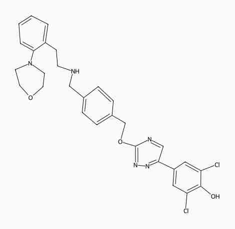 Oc1c(Cl)cc(-c2cnc(OCc3ccc(CNCCc4ccccc4N4CCOCC4)cc3)nn2)cc1Cl